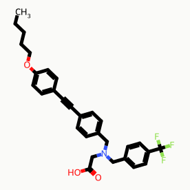 CCCCCOc1ccc(C#Cc2ccc(CN(CC(=O)O)Cc3ccc(C(F)(F)F)cc3)cc2)cc1